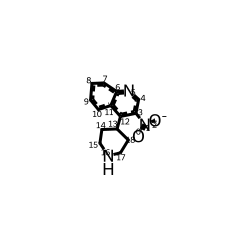 O=[N+]([O-])c1cnc2ccccc2c1C1CCNCC1